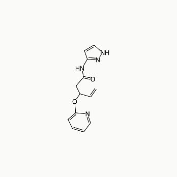 C=CC(CC(=O)Nc1cc[nH]n1)Oc1ccccn1